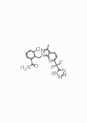 Cc1nn(Cc2c(Cl)cccc2C(N)=O)c2nc(C(F)(F)c3nnn[nH]3)ccc12